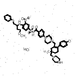 COCCC(CSc1ccccc1)Nc1ccc(S(=O)(=O)NC(=O)c2ccc(N3CCN(CC4=C(c5ccc(Cl)cc5)CCC(C)(CN5CCNCC5)C4)CC3)cc2)cc1[N+](=O)[O-].Cl